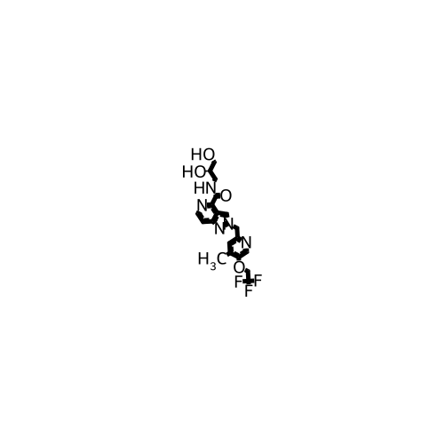 Cc1cc(Cn2cc3c(C(=O)NC[C@H](O)CO)nccc3n2)ncc1OCC(F)(F)F